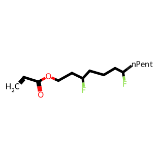 C=CC(=O)OCCC(F)CCCC(F)CCCCC